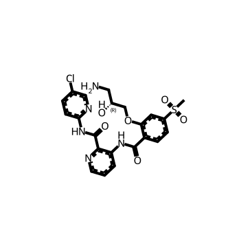 CS(=O)(=O)c1ccc(C(=O)Nc2cccnc2C(=O)Nc2ccc(Cl)cn2)c(OC[C@H](O)CN)c1